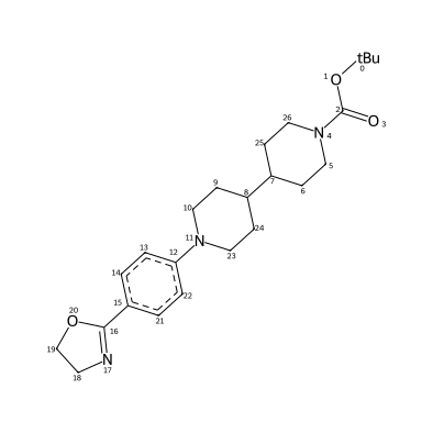 CC(C)(C)OC(=O)N1CCC(C2CCN(c3ccc(C4=NCCO4)cc3)CC2)CC1